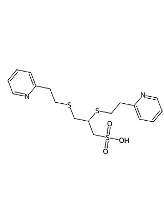 O=S(=O)(O)CC(CSCCc1ccccn1)SCCc1ccccn1